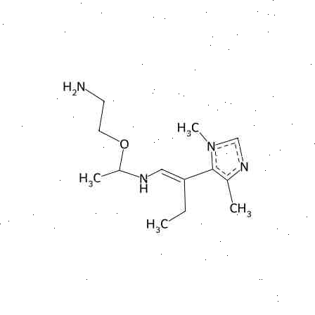 CC/C(=C\NC(C)OCCN)c1c(C)ncn1C